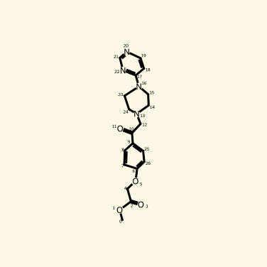 COC(=O)COc1ccc(C(=O)CN2CCN(c3ccncn3)CC2)cc1